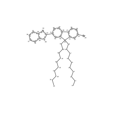 CCCCCCCCCCC1(CCCCCCCCCC)c2cc(Br)ccc2-c2ccc(-c3nc4ccccc4s3)cc21